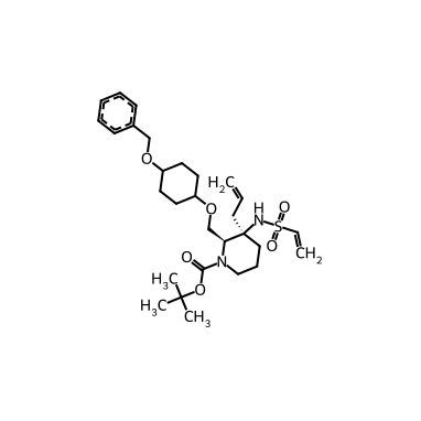 C=CC[C@]1(NS(=O)(=O)C=C)CCCN(C(=O)OC(C)(C)C)[C@H]1COC1CCC(OCc2ccccc2)CC1